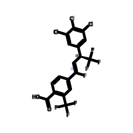 O=C(O)c1ccc(/C(F)=C/[C@@H](c2cc(Cl)c(Cl)c(Cl)c2)C(F)(F)F)cc1C(F)(F)F